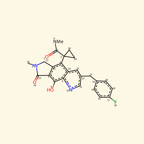 CNC(=O)C1(c2c3c(c(O)c4ncc(Cc5ccc(F)cc5)cc24)C(=O)N(C)C3)CC1